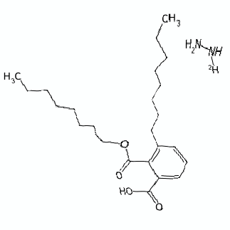 CCCCCCCCOC(=O)c1c(CCCCCCCC)cccc1C(=O)O.[2H]NN